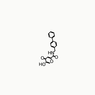 O=C(NCc1ccc(-c2ccccc2)cc1)c1cc(=O)c(O)co1